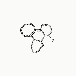 Clc1cccc2c3ccccc3c3ccccc3c12